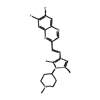 Cc1cc(/C=C/c2cnc3cc(F)c(F)cc3n2)c(C)n1C1CCN(C)CC1